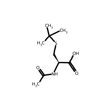 CC(=O)N[C@@H](CSC(C)(C)C)C(=O)O